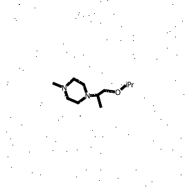 CC(C)OCC(C)N1CCN(C)CC1